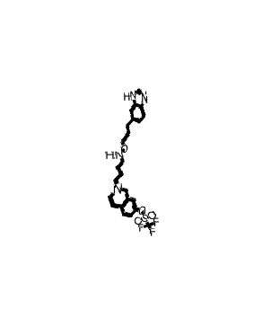 O=S(=O)(Oc1ccc2c(c1)CN(CCCCNOC=CCc1ccc3nc[nH]c3c1)CC2)C(F)(F)F